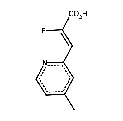 Cc1ccnc(/C=C(\F)C(=O)O)c1